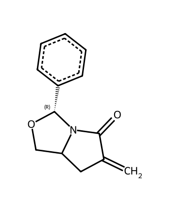 C=C1CC2CO[C@H](c3ccccc3)N2C1=O